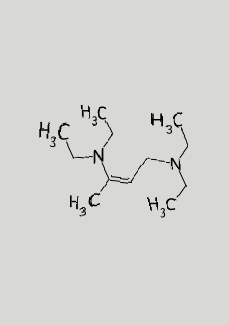 CCN(CC)CC=C(C)N(CC)CC